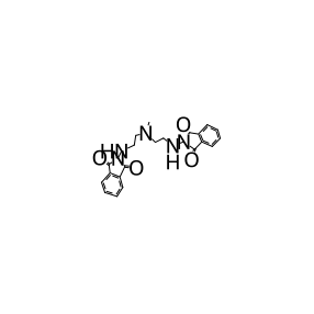 CN(CCNN1C(=O)c2ccccc2C1=O)CCNN1C(=O)c2ccccc2C1=O